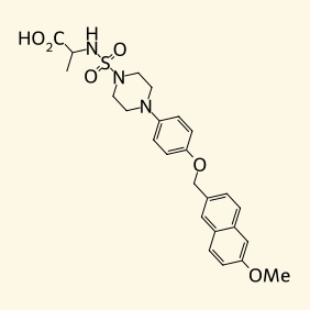 COc1ccc2cc(COc3ccc(N4CCN(S(=O)(=O)NC(C)C(=O)O)CC4)cc3)ccc2c1